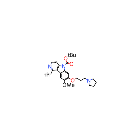 CCCc1nccc2c1c1cc(OC)c(OCCCN3CCCC3)cc1n2C(=O)OC(C)(C)C